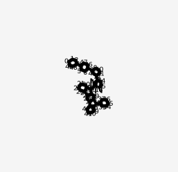 c1ccc(-c2ccc(-c3cccc(-c4ccnc(C5c6ccccc6-c6cc7c(cc65)C(c5ccccc5)c5ccccc5-7)n4)c3)cc2)cc1